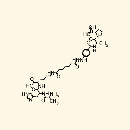 C[C@H](N)C(=O)N[C@@H](Cc1c[nH]cn1)C(=O)N[C@@H](CCCCNC(=O)CCCCCC(=O)NNc1ccc(C(=O)N[C@H](C)C(=O)N2CCC[C@H]2B(O)O)cc1)C(=O)O